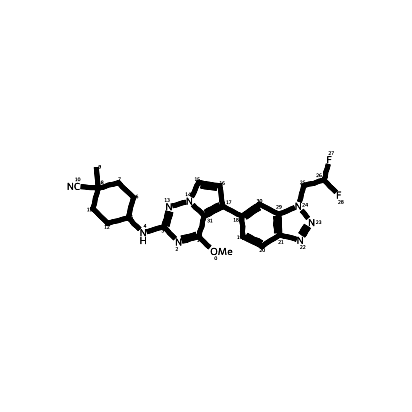 COc1nc(NC2CCC(C)(C#N)CC2)nn2ccc(-c3ccc4nnn(CC(F)F)c4c3)c12